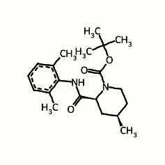 Cc1cccc(C)c1NC(=O)[C@@H]1C[C@H](C)CCN1C(=O)OC(C)(C)C